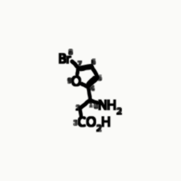 NC(CC(=O)O)c1ccc(Br)o1